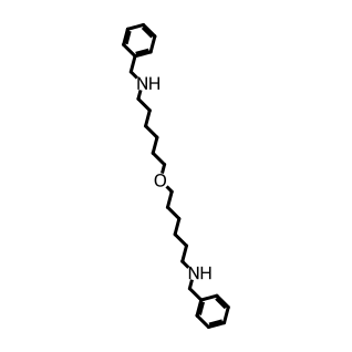 c1ccc(CNCCCCCCOCCCCCCNCc2ccccc2)cc1